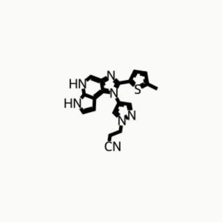 Cc1ccc(-c2nc3c(n2-c2cnn(CCC#N)c2)=C2C=CNC2NC=3)s1